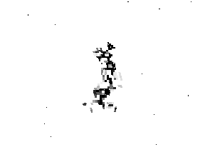 CC(C)c1cc(NC(=O)Nc2ccc(-c3cn(C4CC4)c4ncnc(N)c34)cc2F)on1